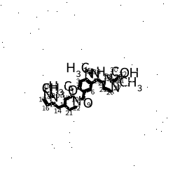 COc1cc2c(cc1C(=O)N1CCC(Cc3ccn(C)n3)CC1)c(-c1ccnc(C(C)(C)O)n1)nn2C